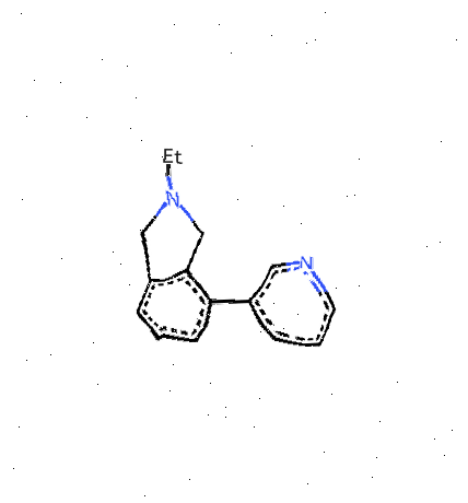 CCN1Cc2cccc(-c3cccnc3)c2C1